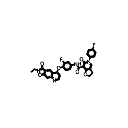 CCn1oc2cc3nccc(Oc4ccc(NC(=O)c5c6c(cn(-c7ccc(F)cc7)c5=O)CCO6)cc4F)c3cc2c1=O